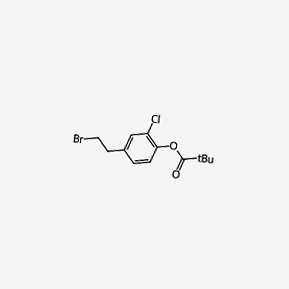 CC(C)(C)C(=O)Oc1ccc(CCBr)cc1Cl